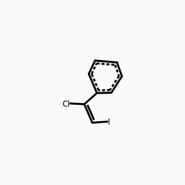 Cl/C(=C/I)c1ccccc1